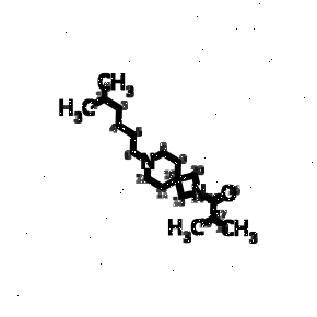 CC(C)CCCCN1CCC2(CC1)CN(C(=O)C(C)C)C2